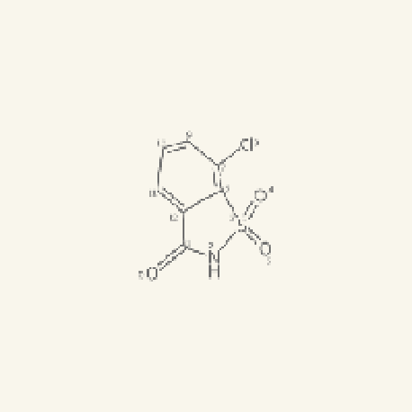 O=C1NS(=O)(=O)c2c(Cl)cccc21